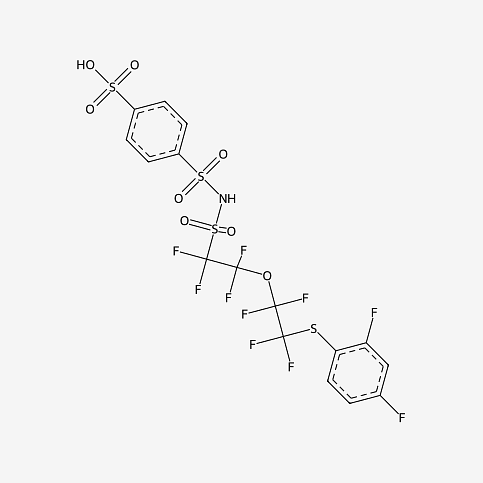 O=S(=O)(O)c1ccc(S(=O)(=O)NS(=O)(=O)C(F)(F)C(F)(F)OC(F)(F)C(F)(F)Sc2ccc(F)cc2F)cc1